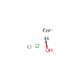 CCO.[Cl-].[Cl-].[Co+2]